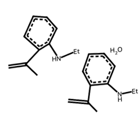 C=C(C)c1ccccc1NCC.C=C(C)c1ccccc1NCC.O